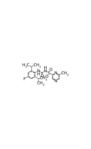 Cc1cncc(S(=O)(=O)NC(=O)Nc2c(C(C)C)cc(F)cc2C(C)C)n1